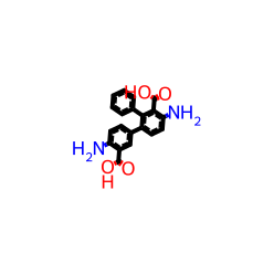 Nc1ccc(-c2ccc(N)c(C(=O)O)c2-c2ccccc2)cc1C(=O)O